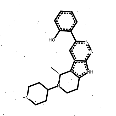 C[C@@H]1c2c([nH]c3nnc(-c4ccccc4O)cc23)CCN1C1CCNCC1